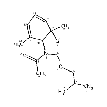 CC(=O)N(COCC(C)C)C1C(C)=CC=CC1(C)Cl